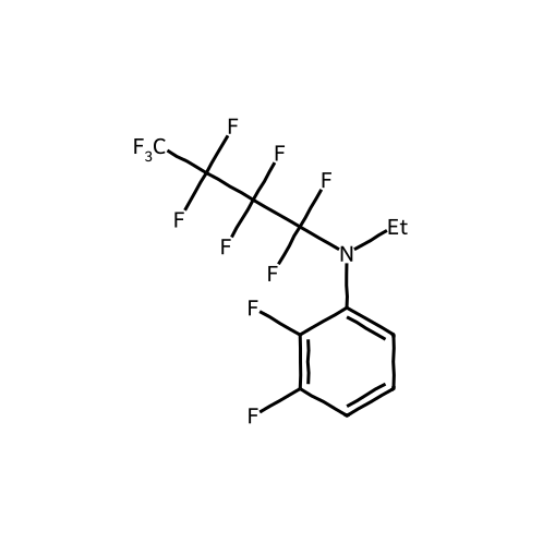 CCN(c1cccc(F)c1F)C(F)(F)C(F)(F)C(F)(F)C(F)(F)F